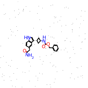 NC(=O)Cc1ccc2[nH]cc([C@H]3C[C@H](NC(=O)OCc4ccccc4)C3)c2c1